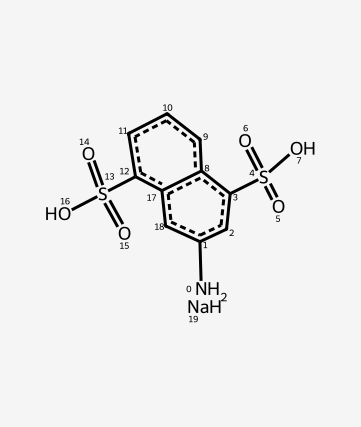 Nc1cc(S(=O)(=O)O)c2cccc(S(=O)(=O)O)c2c1.[NaH]